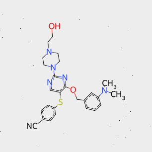 CN(C)c1cccc(COc2nc(N3CCN(CCO)CC3)ncc2Sc2ccc(C#N)cc2)c1